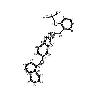 FC(F)Oc1ccccc1CNc1nc2ccc(Oc3ccnc4ccccc34)cc2s1